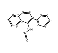 O=NNc1c(-c2ccccc2)ccc2ccccc12